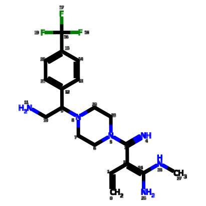 C=C/C(C(=N)N1CCN(C(CN)c2ccc(C(F)(F)F)cc2)CC1)=C(\N)NC